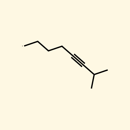 [CH2]CCCC#CC(C)C